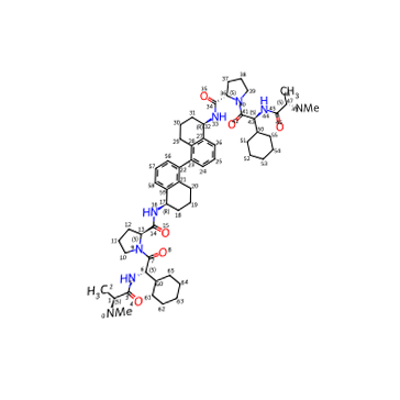 CN[C@@H](C)C(=O)N[C@H](C(=O)N1CCC[C@H]1C(=O)N[C@@H]1CCCc2c(-c3cccc4c3CCC[C@H]4NC(=O)[C@@H]3CCCN3C(=O)[C@@H](NC(=O)[C@H](C)NC)C3CCCCC3)cccc21)C1CCCCC1